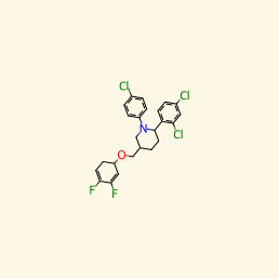 FC1=CCC(OCC2CCC(c3ccc(Cl)cc3Cl)N(c3ccc(Cl)cc3)C2)C=C1F